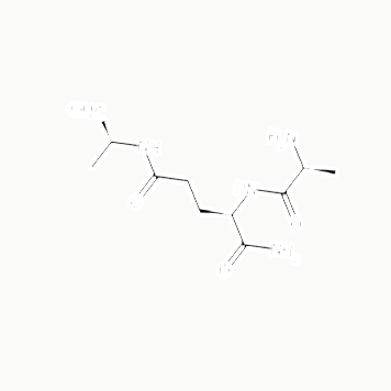 C[C@H](N)C(=O)N[C@H](CCC(=O)N[C@@H](C)[C]=O)C(N)=O